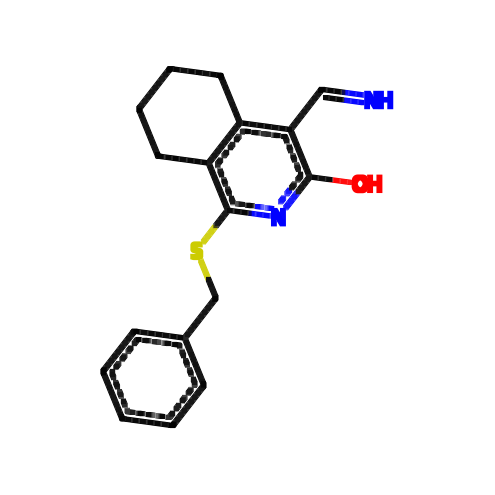 N=Cc1c(O)nc(SCc2ccccc2)c2c1CCCC2